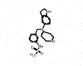 CS(=O)(=O)Nc1cccc(CN(c2ccc3c(c2)CCN3)C2CCNCC2)c1